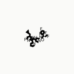 O=C(Nc1cc(-c2[nH]c3c(CC4CC4)cc(F)nc3c2-c2ccccn2)ccn1)[C@H](CC(F)F)c1ccc(F)cc1